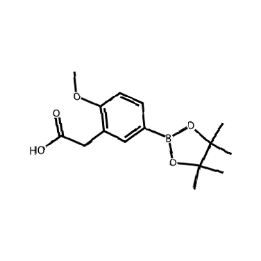 COc1ccc(B2OC(C)(C)C(C)(C)O2)cc1CC(=O)O